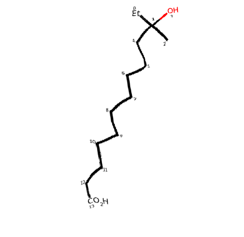 CCC(C)(O)CCCCCCCCCC(=O)O